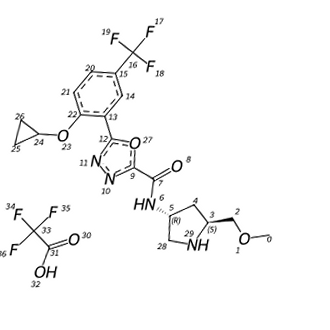 COC[C@@H]1C[C@@H](NC(=O)c2nnc(-c3cc(C(F)(F)F)ccc3OC3CC3)o2)CN1.O=C(O)C(F)(F)F